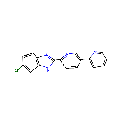 Clc1ccc2nc(-c3ccc(-c4ccccn4)cn3)[nH]c2c1